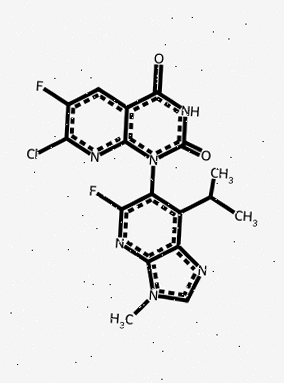 CC(C)c1c(-n2c(=O)[nH]c(=O)c3cc(F)c(Cl)nc32)c(F)nc2c1ncn2C